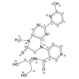 Cc1cccc(-c2ncc3c(n2)N(c2ccncc2C(=O)NC(CO)CO)CC(=O)N3C)n1